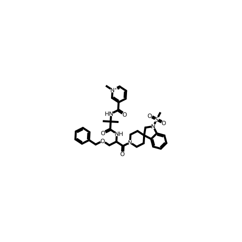 C[n+]1cccc(C(=O)NC(C)(C)C(=O)NC(COCc2ccccc2)C(=O)N2CCC3(CC2)CN(S(C)(=O)=O)c2ccccc23)c1